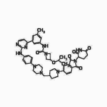 Cc1cc(NC(=O)N2CC(OC(C)C)C2)cc(-c2ccnc(Nc3ccc(N4CCN(CC5CCN(c6ccc7c(c6)C(=O)N(C6CCC(=O)NC6=O)C7=O)CC5)CC4)cc3)n2)c1